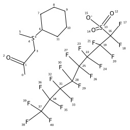 CC(=O)C[S+](C)C1CCCCC1.O=S(=O)([O-])C(F)(F)C(F)(F)C(F)(F)C(F)(F)C(F)(F)C(F)(F)C(F)(F)C(F)(F)F